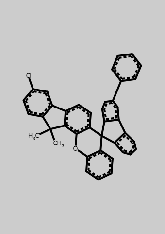 CC1(C)c2ccc(Cl)cc2-c2ccc3c(c21)Oc1ccccc1C31c2ccccc2-c2cc(-c3ccccc3)ccc21